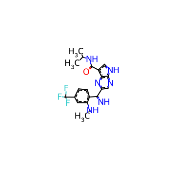 CNc1cc(C(F)(F)F)ccc1C(=N)c1cnc2[nH]cc(C(=O)NC(C)C)c2n1